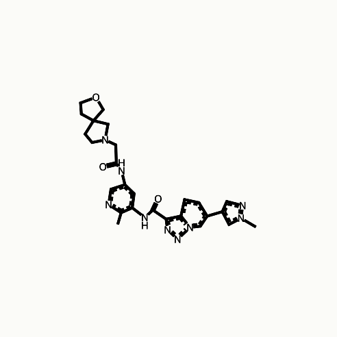 Cc1ncc(NC(=O)CN2CCC3(CCOC3)C2)cc1NC(=O)c1nnn2cc(-c3cnn(C)c3)ccc12